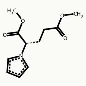 COC(=O)CC[C@@H](C(=O)OC)n1cccc1